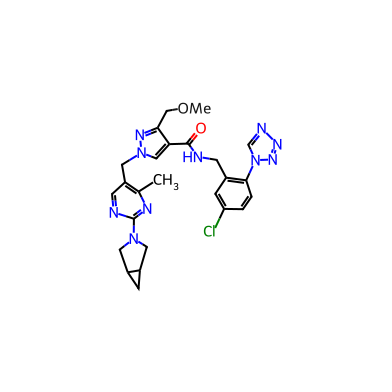 COCc1nn(Cc2cnc(N3CC4CC4C3)nc2C)cc1C(=O)NCc1cc(Cl)ccc1-n1cnnn1